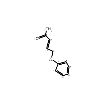 CC(=O)/C=C/CSc1ccccc1